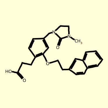 CN1CCN(Cc2ccc(CCC(=O)O)c(OCCc3ccc4ccccc4c3)c2)C1=O